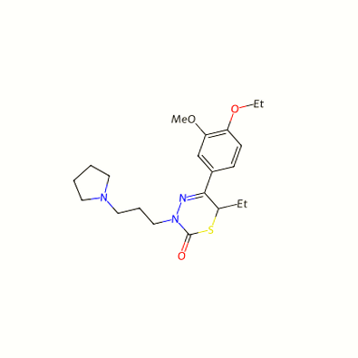 CCOc1ccc(C2=NN(CCCN3CCCC3)C(=O)SC2CC)cc1OC